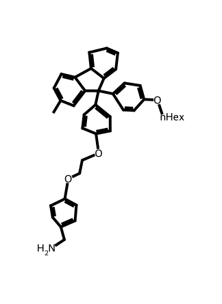 CCCCCCOc1ccc(C2(c3ccc(OCCOc4ccc(CN)cc4)cc3)c3ccccc3-c3ccc(C)cc32)cc1